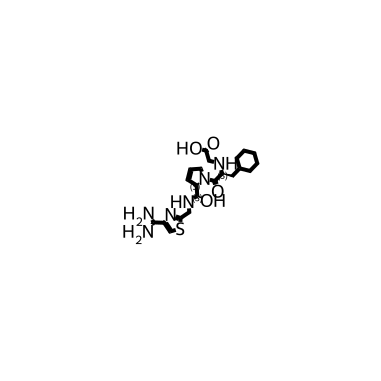 NC(N)c1csc(CN[C@@H](O)[C@@H]2C=CCN2C(=O)[C@H](CC2CCCCC2)NCC(=O)O)n1